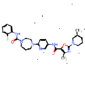 CC1CCCN(c2nc(C(F)(F)F)c(C(=O)Nc3ccc(N4CCCN(C(=O)Nc5ccccc5F)CC4)nc3)o2)C1